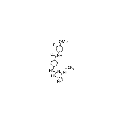 COc1ccc(NC(=O)c2ccc(Nc3nc(NCC(F)(F)F)c4ccnc-4[nH]3)cc2)cc1F